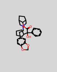 O=C(OC1C2CCC1CN(CCc1ccc3c(c1)OCO3)C2)C(O)(c1ccccc1)C1CCCC1